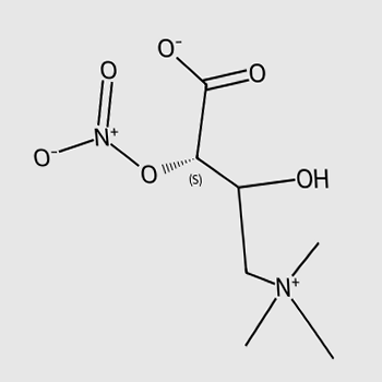 C[N+](C)(C)CC(O)[C@H](O[N+](=O)[O-])C(=O)[O-]